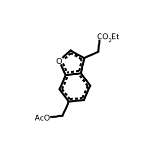 CCOC(=O)Cc1coc2cc(COC(C)=O)ccc12